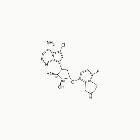 Nc1ccnc2c1c(Cl)cn2C1CC(Oc2ccc(F)c3c2CNCC3)[C@@H](O)[C@H]1O